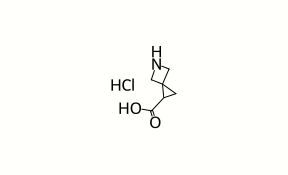 Cl.O=C(O)C1CC12CNC2